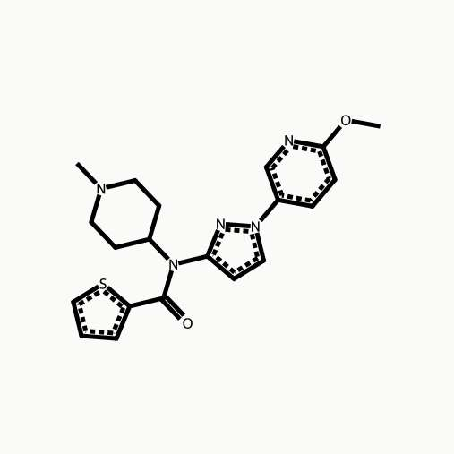 COc1ccc(-n2ccc(N(C(=O)c3cccs3)C3CCN(C)CC3)n2)cn1